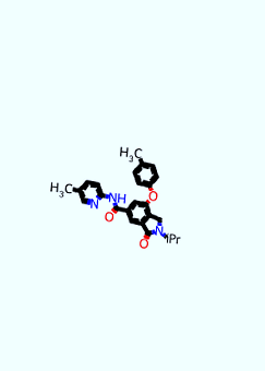 Cc1ccc(Oc2cc(C(=O)Nc3ccc(C)cn3)cc3c2CN(C(C)C)C3=O)cc1